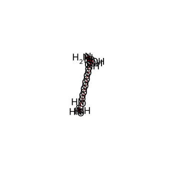 Nc1ncnc2c1ncn2[C@@H]1O[C@H](CO)[C@@H](O)[C@H]1OCC(=O)NCCOCCOCCOCCOCCOCCOCCOCCOCCOCCOCCNC(=O)CCCC[C@@H]1SC[C@@H]2NC(=O)N[C@@H]21